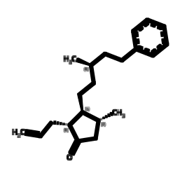 C=CC[C@H]1C(=O)C[C@@H](C)[C@@H]1CC[C@@H](C)CCc1ccccc1